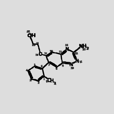 Cc1ccccc1-c1cc2nnc(N)nc2cc1OCCO